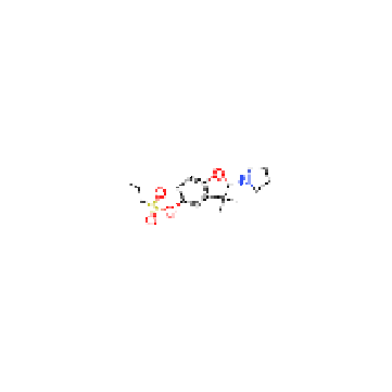 CCCS(=O)(=O)Oc1ccc2c(c1)C(C)(C)C(N1CCCC1)O2